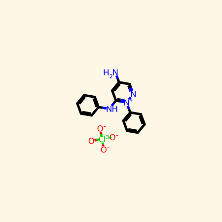 Nc1cn[n+](-c2ccccc2)c(Nc2ccccc2)c1.[O-][Cl+3]([O-])([O-])[O-]